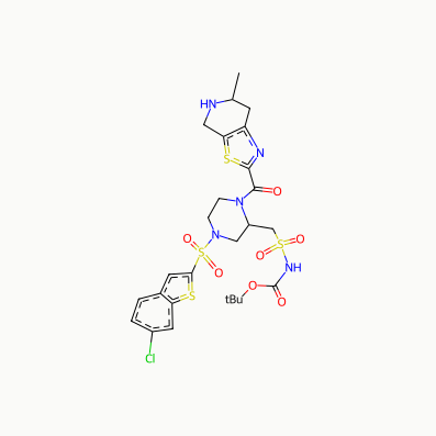 CC1Cc2nc(C(=O)N3CCN(S(=O)(=O)c4cc5ccc(Cl)cc5s4)CC3CS(=O)(=O)NC(=O)OC(C)(C)C)sc2CN1